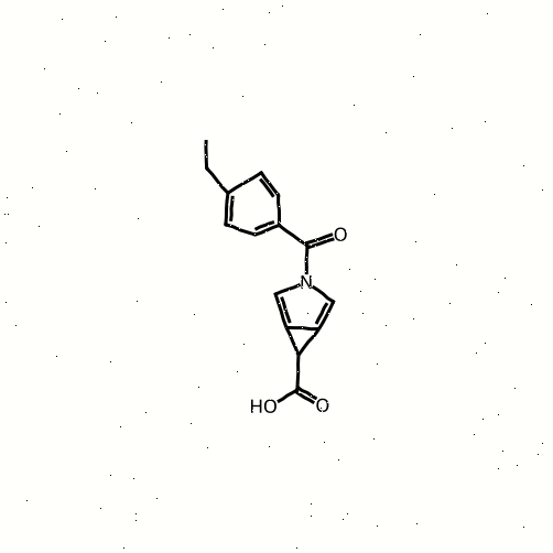 CCc1ccc(C(=O)n2cc3c(c2)C3C(=O)O)cc1